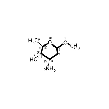 COC1C[C@H](N)[C@H](O)[C@H](C)O1